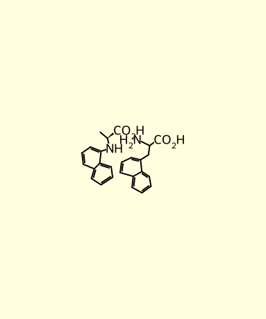 C[C@H](Nc1cccc2ccccc12)C(=O)O.NC(Cc1cccc2ccccc12)C(=O)O